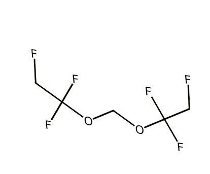 FCC(F)(F)OCOC(F)(F)CF